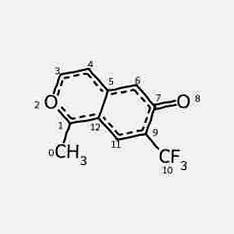 Cc1occc2cc(=O)c(C(F)(F)F)cc1-2